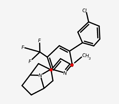 COC=C1CC2CCC(C1)N2c1ncc(-c2cccc(Cl)c2)cc1C(F)(F)F